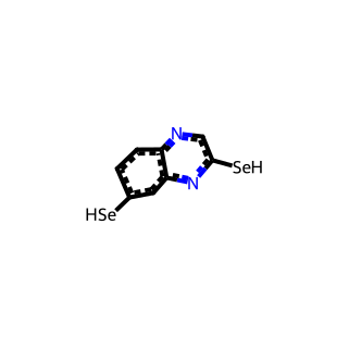 [SeH]c1ccc2ncc([SeH])nc2c1